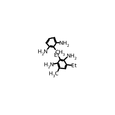 CCc1cc(C)c(N)c(CC)c1N.Cc1c(N)cccc1N